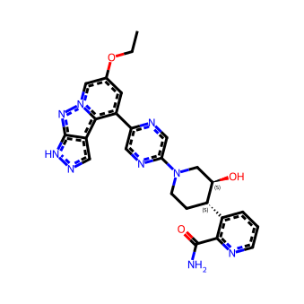 CCOc1cc(-c2cnc(N3CC[C@@H](c4cccnc4C(N)=O)[C@H](O)C3)cn2)c2c3cn[nH]c3nn2c1